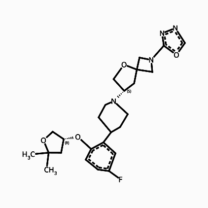 CC1(C)C[C@@H](Oc2ccc(F)cc2C2CCN([C@@H]3COC4(C3)CN(c3nnco3)C4)CC2)CO1